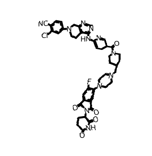 N#Cc1ccc(N2CCc3c(ncnc3NC3=CCC(C(=O)N4CCC(CN5CCN(c6cc7c(cc6F)C(=O)N(C6CCC(=O)NC6=O)C7=O)CC5)CC4)C=N3)C2)cc1Cl